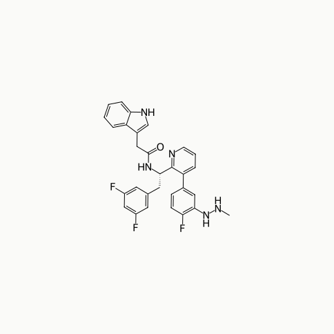 CNNc1cc(-c2cccnc2[C@H](Cc2cc(F)cc(F)c2)NC(=O)Cc2c[nH]c3ccccc23)ccc1F